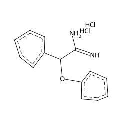 Cl.Cl.N=C(N)C(Oc1ccccc1)c1ccccc1